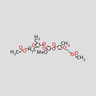 C=CC(=O)OCCCCOc1ccc(C(=O)Oc2ccc(OC(=O)c3cc(C)c(OCCCCOC(=O)C=C)c(C)c3)c(OC)c2)cc1C